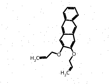 C=CCOc1cc2cc3ccccc3cc2cc1OCC=C